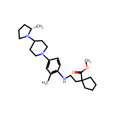 COC(=O)C1(CCNc2ccc(N3CCC(N4CCC[C@@H]4C)CC3)cc2C)CCCC1